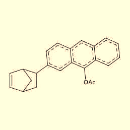 CC(=O)Oc1c2ccccc2cc2ccc(C3CC4C=CC3C4)cc12